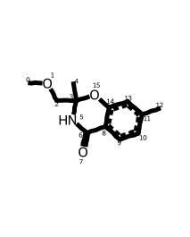 COCC1(C)NC(=O)c2ccc(C)cc2O1